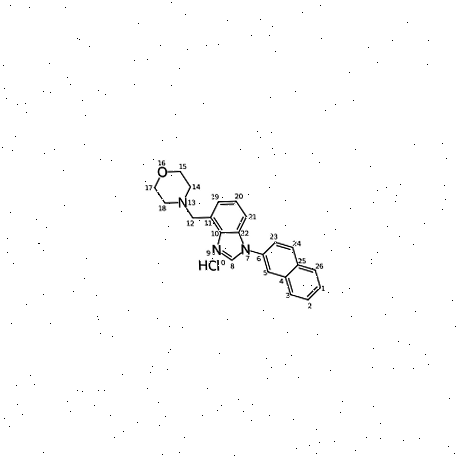 Cl.c1ccc2cc(-n3cnc4c(CN5CCOCC5)cccc43)ccc2c1